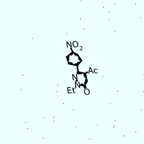 CCn1nc(-c2ccc([N+](=O)[O-])cc2)c(C(C)=O)cc1=O